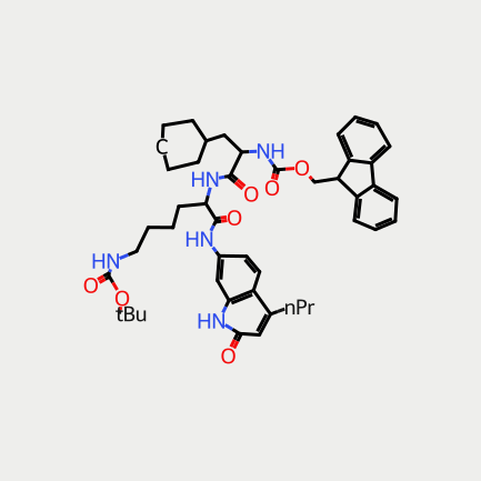 CCCc1cc(=O)[nH]c2cc(NC(=O)C(CCCCNC(=O)OC(C)(C)C)NC(=O)C(CC3CCCCC3)NC(=O)OCC3c4ccccc4-c4ccccc43)ccc12